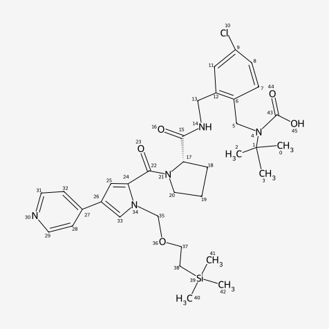 CC(C)(C)N(Cc1ccc(Cl)cc1CNC(=O)[C@@H]1CCCN1C(=O)c1cc(-c2ccncc2)cn1COCC[Si](C)(C)C)C(=O)O